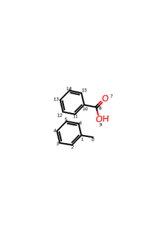 Cc1ccccc1.O=C(O)c1ccccc1